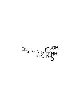 [CH2]CSCCCNC[C@H](O)c1ccc(O)c2[nH]c(=O)sc12